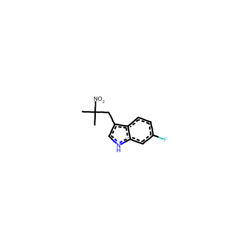 CC(C)(Cc1c[nH]c2cc(F)ccc12)[N+](=O)[O-]